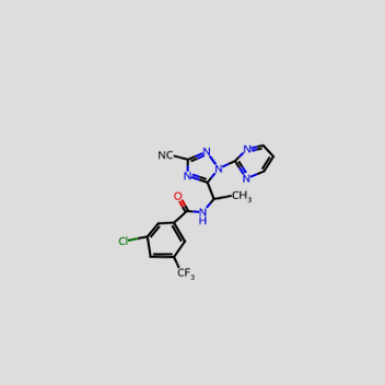 CC(NC(=O)c1cc(Cl)cc(C(F)(F)F)c1)c1nc(C#N)nn1-c1ncccn1